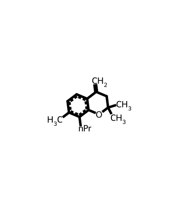 C=C1CC(C)(C)Oc2c1ccc(C)c2CCC